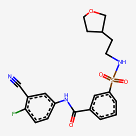 N#Cc1cc(NC(=O)c2cccc(S(=O)(=O)NCCC3CCOC3)c2)ccc1F